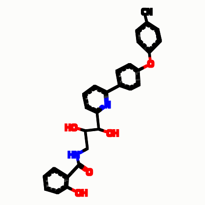 N#Cc1ccc(Oc2ccc(-c3cccc(C(O)C(O)CNC(=O)c4ccccc4O)n3)cc2)cc1